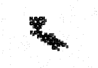 C=C(C)c1c(Cl)cc([C@@H](/C=C(\F)c2ccc(C(=O)N[C@H](C)C(=O)NCC(F)(F)F)c(C(F)(F)F)c2)C(F)(F)F)cc1Cl